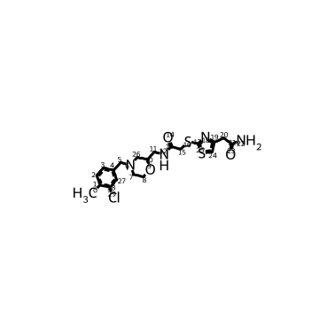 Cc1ccc(CN2CCOC(CNC(=O)CSc3nc(CC(N)=O)cs3)C2)cc1Cl